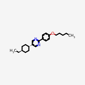 CCCCCOc1ccc(-c2ncc([C@H]3CC[C@H](CC)CC3)cn2)cc1